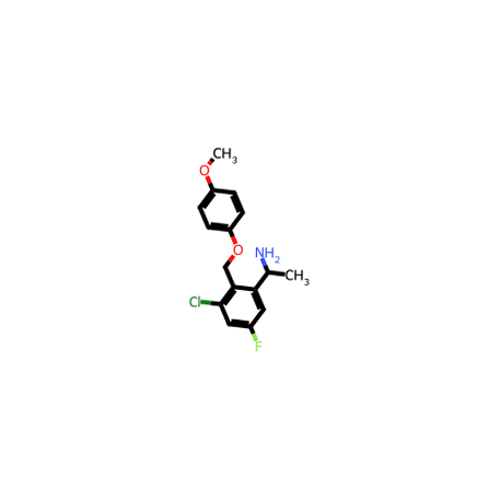 COc1ccc(OCc2c(Cl)cc(F)cc2C(C)N)cc1